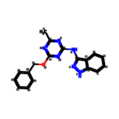 Cc1nc(Nc2n[nH]c3ccccc23)nc(OCc2ccccc2)n1